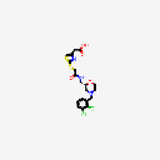 O=C(O)Cc1csc(SCC(=O)NC[C@H]2CN(Cc3cccc(Cl)c3Cl)CCO2)n1